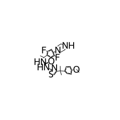 COc1ccc(C(C)(C)c2csc(NC(=O)NC(C)c3cc(F)c(N4CCNCC4)cc3F)n2)cc1